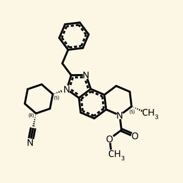 COC(=O)N1c2ccc3c(nc(Cc4ccccc4)n3[C@H]3CCC[C@@H](C#N)C3)c2CC[C@@H]1C